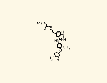 COCC(=O)NC/C=C/c1ccc2c(c1)C(Nc1ccc(OC3CCC(C)NC3)c(C)c1)NCN2